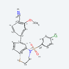 COc1cc(-c2ccc3c(c2)N(S(=O)(=O)c2ccc(Cl)cc2)CCS3)ccc1C#N